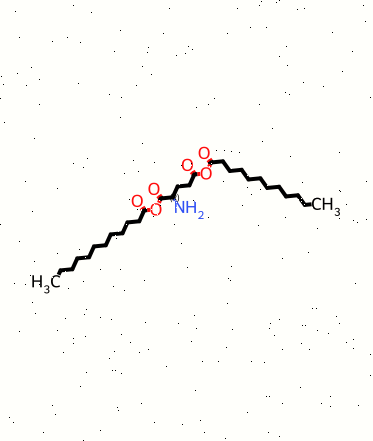 CCCCCCCCCCCC(=O)OC(=O)CC[C@@H](N)C(=O)OC(=O)CCCCCCCCCCC